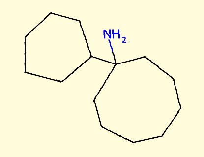 NC1(C2CCCCC2)CCCCCCC1